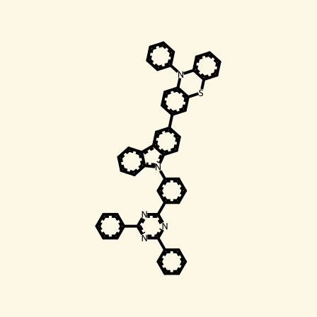 c1ccc(-c2nc(-c3ccccc3)nc(-c3cccc(-n4c5ccccc5c5cc(-c6ccc7c(c6)Sc6ccccc6N7c6ccccc6)ccc54)c3)n2)cc1